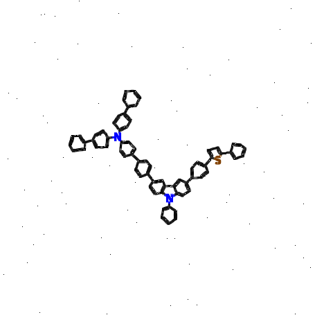 c1ccc(-c2ccc(N(c3ccc(-c4ccccc4)cc3)c3ccc(-c4ccc(-c5ccc6c(c5)c5cc(-c7ccc(-c8ccc(-c9ccccc9)s8)cc7)ccc5n6-c5ccccc5)cc4)cc3)cc2)cc1